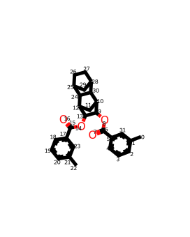 Cc1cccc(C(=O)OC2C3CC(C2OC(=O)c2cccc(C)c2)C2C4CCC(C4)C32)c1